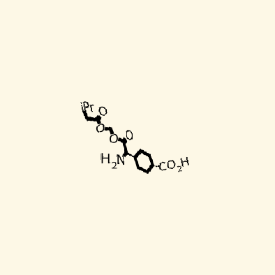 CC(C)CC(=O)OCOC(=O)C(N)[C@H]1CC[C@H](C(=O)O)CC1